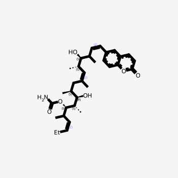 CC/C=C\C(C)[C@H](OC(N)=O)[C@@H](C)[C@H](O)[C@@H](C)C/C(C)=C\[C@H](C)[C@@H](O)C(C)/C=C\c1ccc2oc(=O)ccc2c1